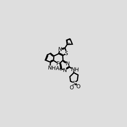 CC(=O)Nc1cccc(-c2nc(C34CC(C3)C4)sc2-c2ccnc(NC3CCS(=O)(=O)CC3)n2)c1F